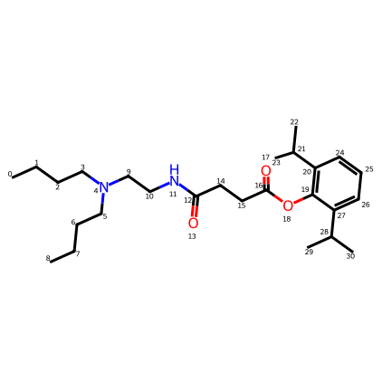 CCCCN(CCCC)CCNC(=O)CCC(=O)Oc1c(C(C)C)cccc1C(C)C